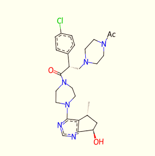 CC(=O)N1CCN(C[C@H](C(=O)N2CCN(c3ncnc4c3[C@H](C)C[C@H]4O)CC2)c2ccc(Cl)cc2)CC1